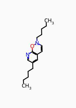 CCCCCc1cnc2c(c1)C=CN(CCCCC)O2